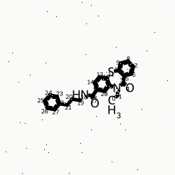 CCN1C(=O)c2ccccc2Sc2ccc(C(=O)NCCCc3ccccc3)cc21